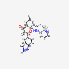 Cc1cc(C(C)Nc2cccnc2C(F)(F)F)c2oc(-c3ccc4nn(C)cc4c3)c(C)c(=O)c2c1